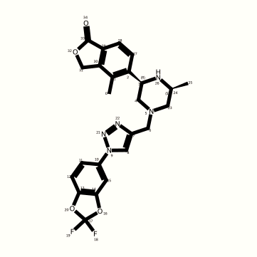 Cc1c([C@@H]2CN(Cc3cn(-c4ccc5c(c4)OC(F)(F)O5)nn3)C[C@H](C)N2)ccc2c1COC2=O